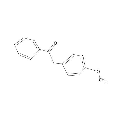 COc1ccc(CC(=O)c2ccccc2)cn1